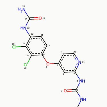 CNC(=O)Nc1cc(Oc2ccc(NC(N)=O)c(Cl)c2Cl)ccn1